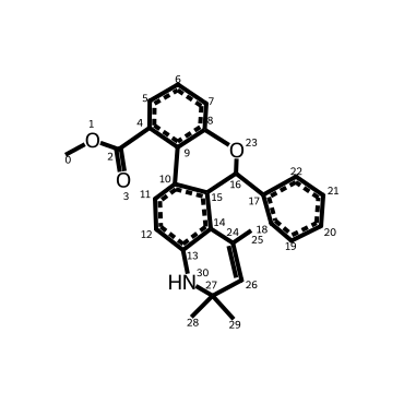 COC(=O)c1cccc2c1-c1ccc3c(c1C(c1ccccc1)O2)C(C)=CC(C)(C)N3